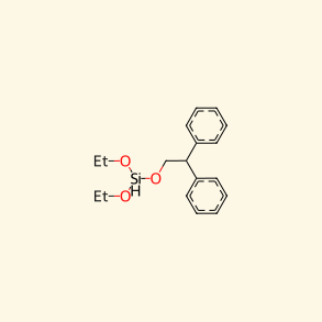 CCO[SiH](OCC)OCC(c1ccccc1)c1ccccc1